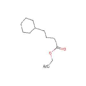 CC(=O)OCOC(=O)CCCC1CCCCC1